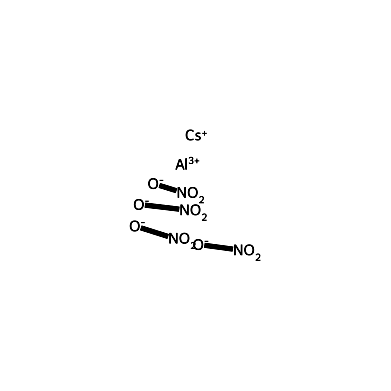 O=[N+]([O-])[O-].O=[N+]([O-])[O-].O=[N+]([O-])[O-].O=[N+]([O-])[O-].[Al+3].[Cs+]